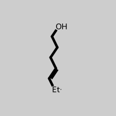 C[CH]C=CCCCO